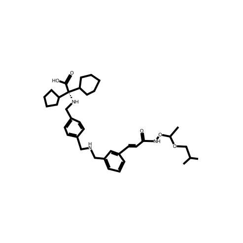 CC(C)COC(C)ONC(=O)/C=C/c1cccc(CNCc2ccc(CN[C@](C(=O)O)(C3CCCCC3)C3CCCC3)cc2)c1